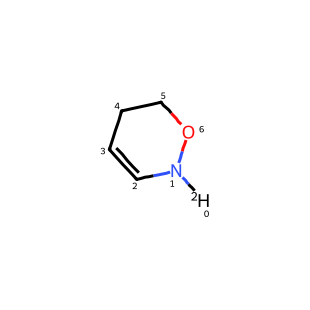 [2H]N1C=CCCO1